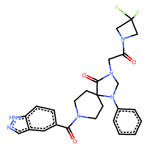 O=C(CN1CN(c2ccccc2)C2(CCN(C(=O)c3ccc4[nH]ncc4c3)CC2)C1=O)N1CC(F)(F)C1